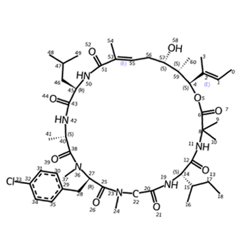 C/C=C(\C)[C@H]1OC(=O)C(C)(C)NC(=O)[C@H](C(C)CC)NC(=O)CN(C)C(=O)[C@@H](Cc2ccc(Cl)cc2)N(C)C(=O)[C@H](C)NC(=O)[C@@H](CC(C)C)NC(=O)/C(C)=C/C[C@H](O)[C@@H]1C